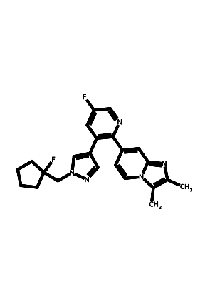 Cc1nc2cc(-c3ncc(F)cc3-c3cnn(CC4(F)CCCC4)c3)ccn2c1C